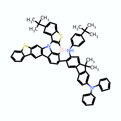 CC(C)(C)c1ccc(Nc2cc3c(cc2-c2ccc4c5cc6c(cc5n5c4c2Bc2sc4ccc(C(C)(C)C)cc4c2-5)sc2ccccc26)-c2ccc(N(c4ccccc4)c4ccccc4)cc2C3(C)C)cc1